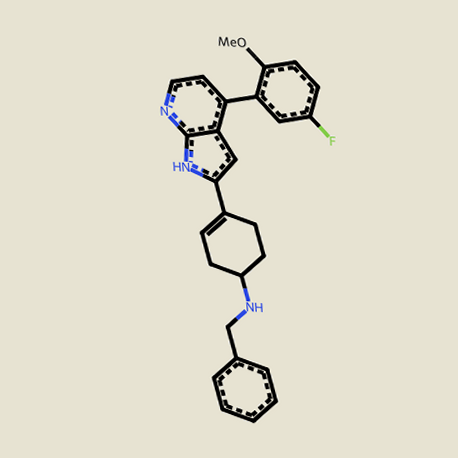 COc1ccc(F)cc1-c1ccnc2[nH]c(C3=CCC(NCc4ccccc4)CC3)cc12